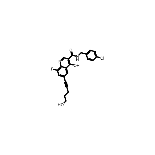 O=C(NCc1ccc(Cl)cc1)c1cnc2c(F)cc(C#CCCCO)cc2c1O